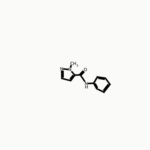 Cn1nccc1C(=O)Nc1c[c]ccc1